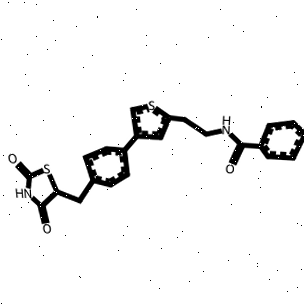 O=C1NC(=O)C(Cc2ccc(-c3csc(CCNC(=O)c4ccccc4)c3)cc2)S1